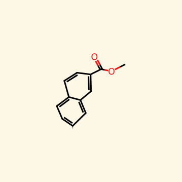 COC(=O)c1ccc2cc[c]cc2c1